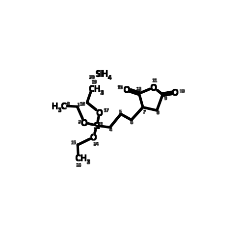 CCO[Si](CCCC1CC(=O)OC1=O)(OCC)OCC.[SiH4]